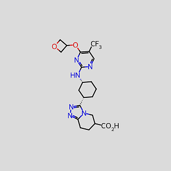 O=C(O)C1CCc2nnc([C@H]3CCC[C@@H](Nc4ncc(C(F)(F)F)c(OC5COC5)n4)C3)n2C1